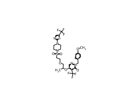 COc1ccc(Cn2ncc(OC(C)COCCS(=O)(=O)N3CCN(c4ncc(C(F)(F)F)s4)CC3)c(C(F)(F)F)c2=O)cc1